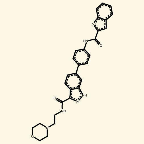 O=C(Nc1ccc(-c2ccc3c(C(=O)NCCN4CCOCC4)n[nH]c3c2)cc1)c1cc2ccccc2s1